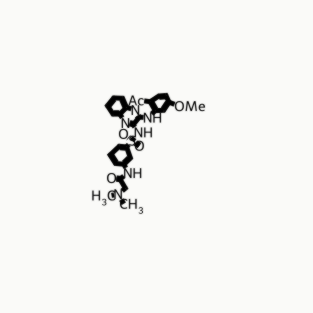 COc1ccc(C(C)=O)c(Nc2nc3ccccc3nc2NS(=O)(=O)c2cccc(NC(=O)CN(C)C)c2)c1